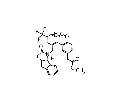 COC(=O)Cc1ccc(OC)c(-c2ccc(C(F)(F)F)cc2CN2C(=O)OC3Cc4ccccc4[C@@H]32)c1